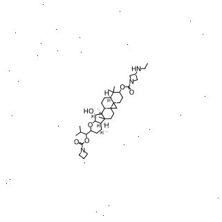 CCNC1CN(C(=O)OC2CCC34CC35CCC3(C)[C@@H]6C(OC(C(OC(=O)N7CCC7)C(C)C)C[C@H]6C)[C@H](O)[C@@]3(C)C5CC[C@H]4C2(C)C)C1